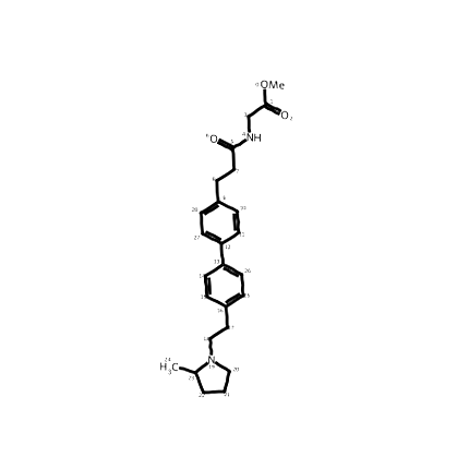 COC(=O)CNC(=O)CCc1ccc(-c2ccc(CCN3CCCC3C)cc2)cc1